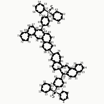 S=P(c1ccccc1)(c1ccccc1)c1ccc(-c2c3ccc4ccccc4c3cc3c2ccc2cc(-c4ccc5c(ccc6c(-c7ccc(P(=S)(c8ccccc8)c8ccccc8)cc7)c7ccc8ccccc8c7cc65)c4)ccc23)cc1